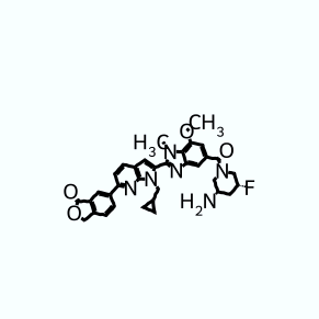 COc1cc(C(=O)N2C[C@H](N)C[C@@H](F)C2)cc2nc(-c3cc4ccc(-c5ccc6c(c5)C(=O)OC6)nc4n3CC3CC3)n(C)c12